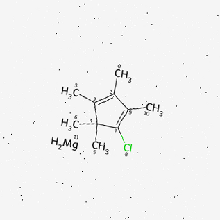 CC1=C(C)C(C)(C)C(Cl)=C1C.[MgH2]